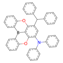 c1ccc(C(c2ccccc2)c2cc(N(c3ccccc3)c3ccccc3)c3c4c2Oc2ccccc2B4c2ccccc2O3)cc1